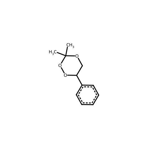 CC1(C)OCC(c2ccccc2)OO1